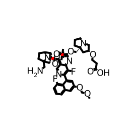 COCOc1cc(-c2ncc3c(N4CC5CCC(CN)(C4)N5C(=O)OC(C)(C)C)nc(OC[C@]45CCCN4C[C@H](OCCC(=O)O)C5)nc3c2F)c2c(F)cccc2c1